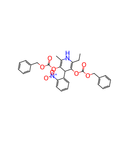 CCC1=C(OC(=O)OCc2ccccc2)C(c2ccccc2[N+](=O)[O-])C(OC(=O)OCc2ccccc2)=C(C)N1